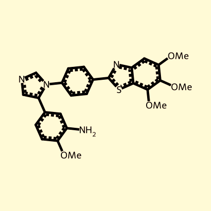 COc1ccc(-c2cncn2-c2ccc(-c3nc4cc(OC)c(OC)c(OC)c4s3)cc2)cc1N